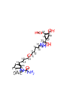 CC(=O)ON(C(N)=O)c1cc(C)cc(CCCCOCCCCCCNC[C@@H](O)c2ccc(O)c(CO)c2)c1